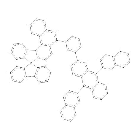 c1cc(-c2ccc3c(-c4ccc5ccccc5c4)c4ccccc4c(-c4ccc5ccccc5c4)c3c2)cc(-c2nc3ccccc3c3c4c(ccc23)C2(c3ccccc3-c3ccccc32)c2ccccc2-4)c1